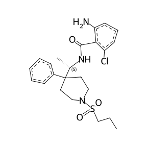 CCCS(=O)(=O)N1CCC(c2ccccc2)([C@H](C)NC(=O)c2c(N)cccc2Cl)CC1